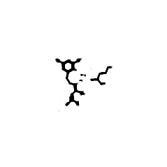 C=C/C(=C\C(=C1/CCc2cc(C(C)(C)C)cc(C(C)(C)C)c2OP(OCC(CC)CCCC)O1)C(C)(C)C)C(C)(C)C